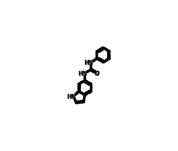 O=C(Nc1ccccc1)Nc1ccc2cc[nH]c2c1